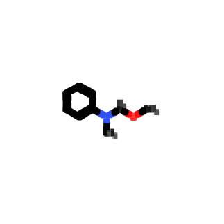 CN([SiH2]O[SiH3])c1ccccc1